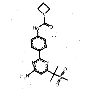 CC(C)(c1cc(N)nc(-c2ccc(NC(=O)N3CCC3)cc2)n1)S(C)(=O)=O